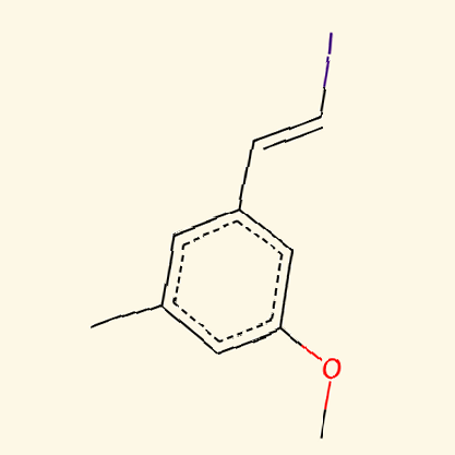 COc1cc(C)cc(C=CI)c1